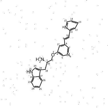 N[C@H](COc1cncc(C=Cc2ccccn2)c1)Cc1c[nH]c2ccccc12